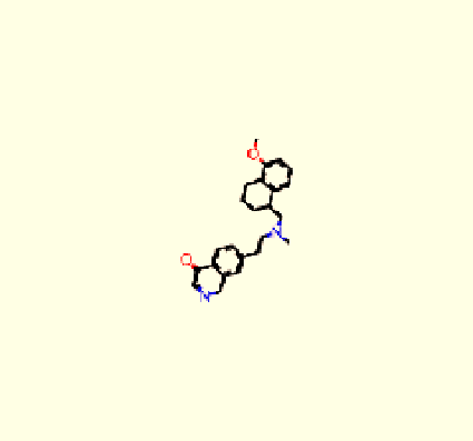 COc1cccc2c1CCCC2CN(C)CCc1ccc2c(c1)CN=CC2=O